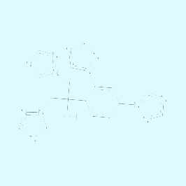 OC(Cn1cncn1)(Cn1cncn1)c1ccc(-n2cncn2)cc1-n1cncn1